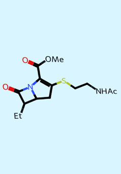 CCC1C(=O)N2C(C(=O)OC)=C(SCCNC(C)=O)CC12